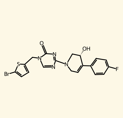 O=c1nc(N2CC=C(c3ccc(F)cc3)[C@@H](O)C2)ncn1Cc1ccc(Br)s1